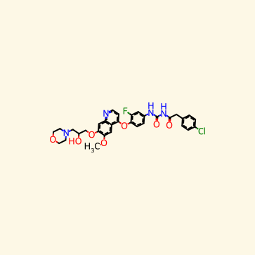 COc1cc2c(Oc3ccc(NC(=O)NC(=O)Cc4ccc(Cl)cc4)cc3F)ccnc2cc1OCC(O)CN1CCOCC1